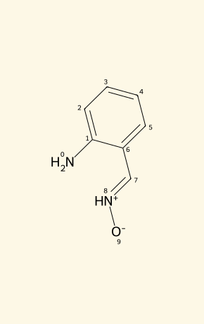 Nc1ccccc1C=[NH+][O-]